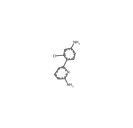 Nc1ccc(-c2cccc(N)n2)c(Cl)c1